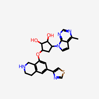 Cc1ncnc2c1ccn2C1CC(Oc2cc(-c3cscn3)cc3c2CNCC3)C(O)C1O